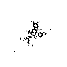 CN(CCO)CCN1C(=O)N2[C@H](c3cccc(O)c3)c3[nH]c4cc(F)c(Cl)cc4c3C[C@@]2(C)C1=O